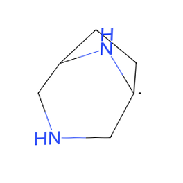 C1CC2CNC[C]1N2